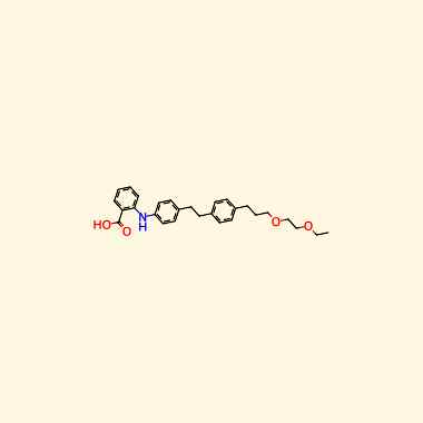 CCOCCOCCCc1ccc(CCc2ccc(Nc3ccccc3C(=O)O)cc2)cc1